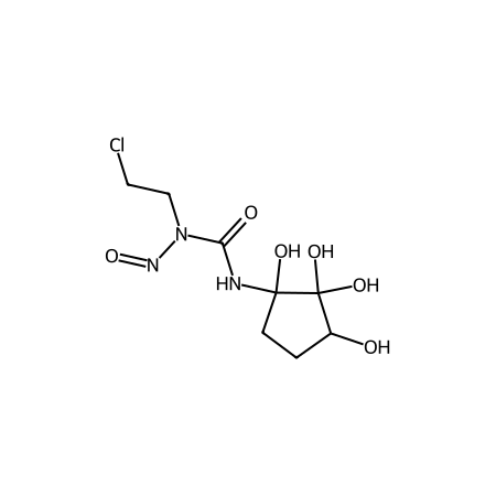 O=NN(CCCl)C(=O)NC1(O)CCC(O)C1(O)O